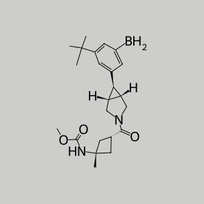 Bc1cc([C@H]2[C@@H]3CN(C(=O)[C@H]4C[C@@](C)(NC(=O)OC)C4)C[C@@H]32)cc(C(C)(C)C)c1